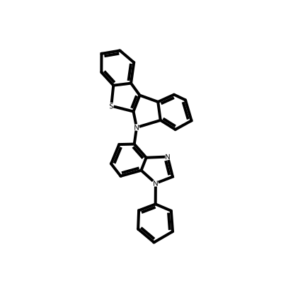 c1ccc(-n2cnc3c(-n4c5ccccc5c5c6ccccc6sc54)cccc32)cc1